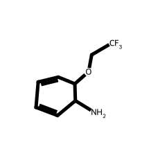 NC1C=CC=CC1OCC(F)(F)F